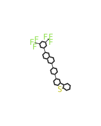 FC(F)(F)c1cc(-c2ccc3cc(-c4ccc(-c5ccc6sc7ccccc7c6c5)cc4)ccc3c2)cc(C(F)(F)F)c1